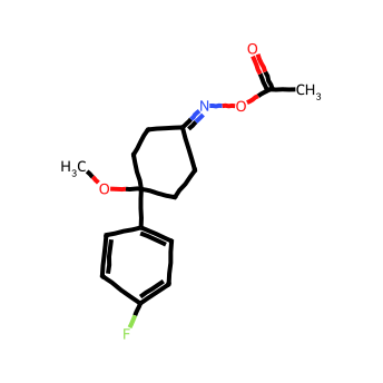 COC1(c2ccc(F)cc2)CCC(=NOC(C)=O)CC1